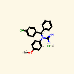 CCCCOc1ccc(N(C(=N)N)C(c2ccccc2)c2ccc(Cl)cc2)cc1.Cl